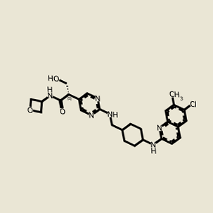 Cc1cc2nc(NC3CCC(CNc4ncc([C@@H](CO)C(=O)NC5COC5)cn4)CC3)ccc2cc1Cl